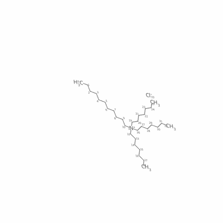 CCCCCCCCCCC[N+](CCCCCCC)(CCCCCCC)CCCCCCC.[Cl-]